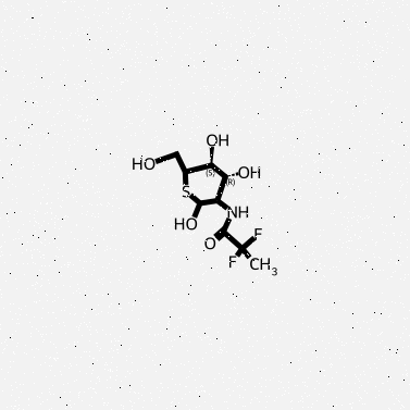 CC(F)(F)C(=O)NC1C(O)SC(CO)[C@@H](O)[C@@H]1O